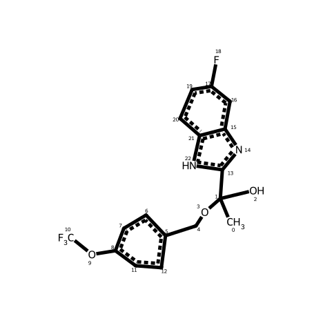 CC(O)(OCc1ccc(OC(F)(F)F)cc1)c1nc2cc(F)ccc2[nH]1